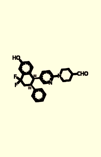 O=CC1CCN(c2ccc([C@@H]3c4ccc(O)cc4C(F)(F)C[C@@H]3c3ccccc3)cn2)CC1